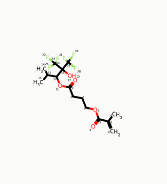 C=C(C)C(=O)OCCCC(=O)OC(C(C)C)C(O)(C(F)(F)F)C(F)(F)F